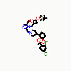 CC1(c2ccc(Cl)cc2F)Oc2cccc(C3CCN(Cc4ncc(C=O)n4CC4CC(O[Si](C)(C)C(C)(C)C)C4)CC3)c2O1